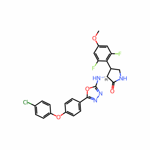 COc1cc(F)c(C2CNC(=O)[C@@H]2Nc2nnc(-c3ccc(Oc4ccc(Cl)cc4)cc3)o2)c(F)c1